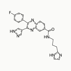 O=C(NCCCc1ncc[nH]1)c1ccc2nc(-c3ccc(F)cc3)c(-c3cn[nH]c3)nc2c1